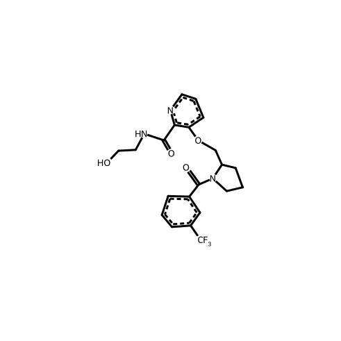 O=C(NCCO)c1ncccc1OCC1CCCN1C(=O)c1cccc(C(F)(F)F)c1